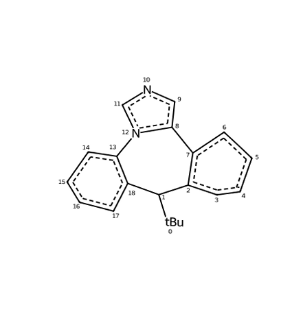 CC(C)(C)C1c2ccccc2-c2cncn2-c2ccccc21